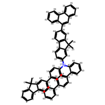 CC1(C)c2ccccc2-c2ccc(-c3ccc(N(c4ccc5c(c4)C(C)(C)c4cc(-c6cc7ccccc7c7ccccc67)ccc4-5)c4ccccc4-c4ccc(-c5ccccc5)cc4)cc3)cc21